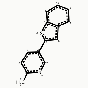 Cc1ccc(-c2cc3ccccc3s2)cn1